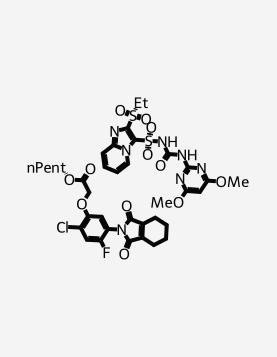 CCCCCOC(=O)COc1cc(N2C(=O)C3=C(CCCC3)C2=O)c(F)cc1Cl.CCS(=O)(=O)c1nc2ccccn2c1S(=O)(=O)NC(=O)Nc1nc(OC)cc(OC)n1